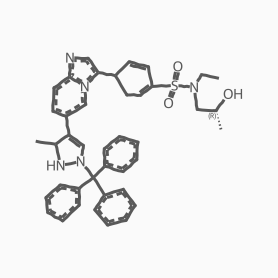 CCN(C[C@@H](C)O)S(=O)(=O)C1=CCC(c2cnc3ccc(C4=CN(C(c5ccccc5)(c5ccccc5)c5ccccc5)NC4C)cn23)C=C1